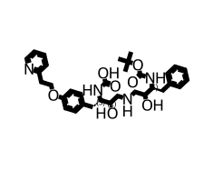 CC(C)(C)OC(=O)N[C@@H](Cc1ccccc1)C(O)CNC[C@@H](O)[C@H](Cc1ccc(OCCc2ccccn2)cc1)NC(=O)O